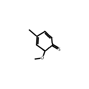 COC1C=C(C)C=[C]C1=S